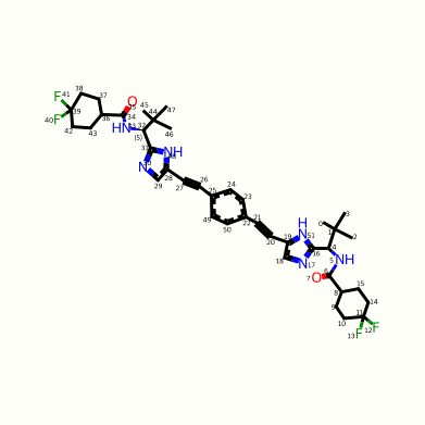 CC(C)(C)C(NC(=O)C1CCC(F)(F)CC1)c1ncc(C#Cc2ccc(C#Cc3cnc([C@@H](NC(=O)C4CCC(F)(F)CC4)C(C)(C)C)[nH]3)cc2)[nH]1